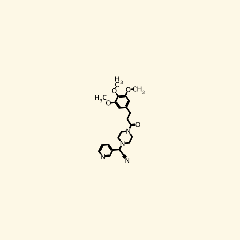 COc1cc(CCC(=O)N2CCN(C(C#N)c3cccnc3)CC2)cc(OC)c1OC